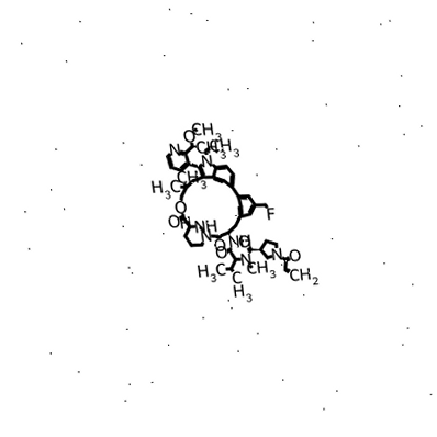 C=CC(=O)N1CC[C@H](C(=O)N(C)C(C(=O)N[C@H]2Cc3cc(CF)cc(c3)-c3ccc4c(c3)c(c(-c3cccnc3[C@H](C)OC)n4CC)CC(C)(C)COC(=O)[C@@H]3CCCN(N3)C2=O)C(C)C)C1